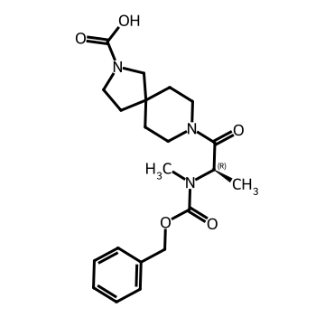 C[C@H](C(=O)N1CCC2(CCN(C(=O)O)C2)CC1)N(C)C(=O)OCc1ccccc1